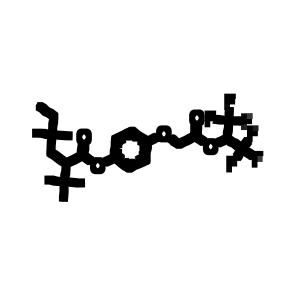 CCC(C)(C)CC(C(=O)Oc1ccc(OCC(=O)OC(C(F)(F)F)C(F)(F)F)cc1)C(C)(C)C